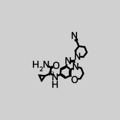 N#CC1CCCN(c2nc3cc(N[C@H](C(N)=O)C4CC4)cc4c3n2CCCO4)C1